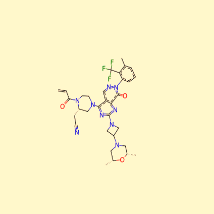 C=CC(=O)N1CCN(c2nc(N3CC(N4C[C@@H](C)O[C@@H](C)C4)C3)nc3c(=O)n(-c4cccc(C)c4C(F)(F)F)ncc23)C[C@@H]1CC#N